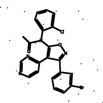 CC(=O)N(c1ccccc1Cl)c1onc(-c2cccc(Br)c2)c1-c1ccncn1